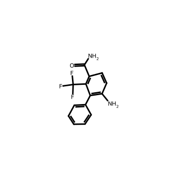 NC(=O)c1ccc(N)c(-c2ccccc2)c1C(F)(F)F